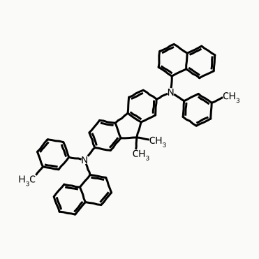 Cc1cccc(N(c2ccc3c(c2)C(C)(C)c2cc(N(c4cccc(C)c4)c4cccc5ccccc45)ccc2-3)c2cccc3ccccc23)c1